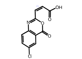 O=C(O)/C=C\c1nc2ccc(Cl)cc2c(=O)o1